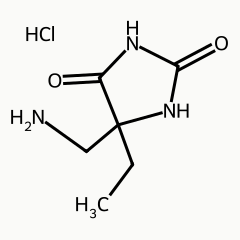 CCC1(CN)NC(=O)NC1=O.Cl